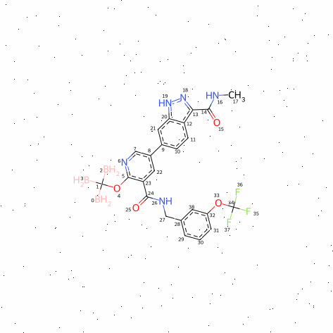 BC(B)(B)Oc1ncc(-c2ccc3c(C(=O)NC)n[nH]c3c2)cc1C(=O)NCc1cccc(OC(F)(F)F)c1